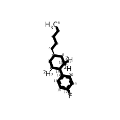 [2H][C@@H]1C[C@@H](CCCCC)CC([2H])([2H])C1c1ccc(F)cc1